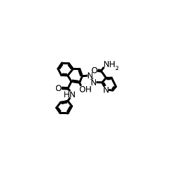 NC(=O)c1cccnc1/N=N/c1cc2ccccc2c(C(=O)Nc2ccccc2)c1O